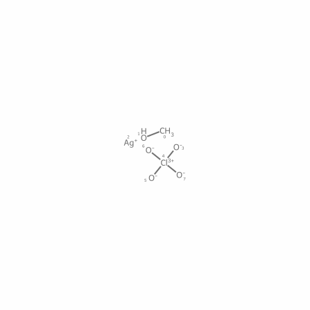 CO.[Ag+].[O-][Cl+3]([O-])([O-])[O-]